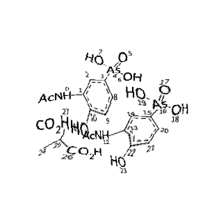 CC(=O)Nc1cc([As](=O)(O)O)ccc1O.CC(=O)Nc1cc([As](=O)(O)O)ccc1O.CC(C(=O)O)C(=O)O